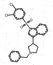 O=S(=O)(c1ccc(Cl)c(Cl)c1)n1cc(C2CCN(Cc3ccccc3)C2)c2ccccc21